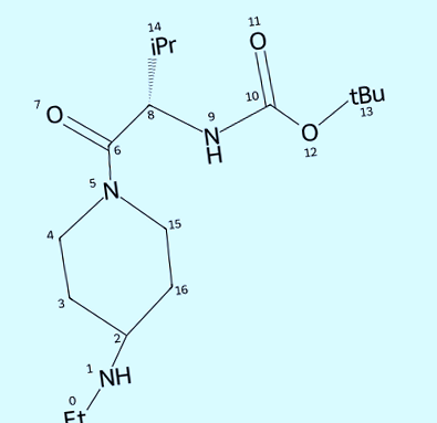 CCNC1CCN(C(=O)[C@@H](NC(=O)OC(C)(C)C)C(C)C)CC1